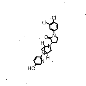 O=C1[C@H](N2C[C@@H]3C[C@H]2CN3c2ccc(O)cn2)CCN1c1ccc(Cl)c(Cl)c1